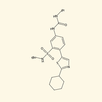 CC(C)NC(=O)Nc1ccc(-c2cnc(C3CCCCC3)s2)c(S(=O)(=O)NC(C)(C)C)c1